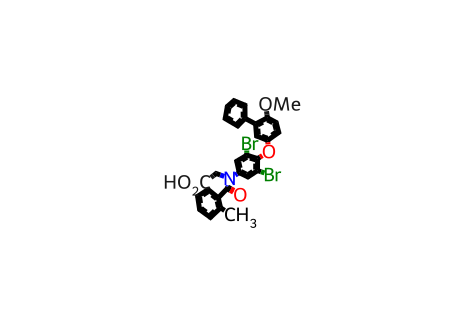 COc1ccc(Oc2c(Br)cc(N(CC(=O)O)C(=O)c3ccccc3C)cc2Br)cc1-c1ccccc1